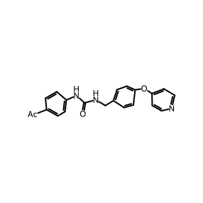 CC(=O)c1ccc(NC(=O)NCc2ccc(Oc3ccncc3)cc2)cc1